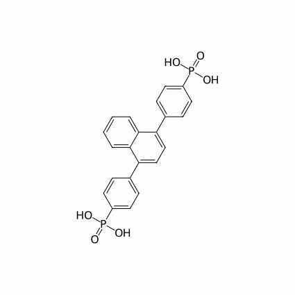 O=P(O)(O)c1ccc(-c2ccc(-c3ccc(P(=O)(O)O)cc3)c3ccccc23)cc1